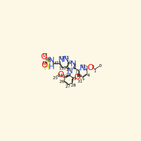 CCOc1cccc(-c2nc3nnc(CN[SH](=O)=O)cc3n2-c2c(OC)cccc2OC)n1